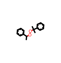 CC(OOC(C)(C)c1ccccc1)c1ccccc1